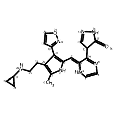 Cc1[nH]c(C=C2NC=CN=C2C2C=NNC2=O)c(-c2ccon2)c1CCNC1CC1